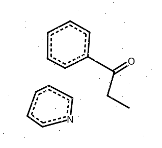 CCC(=O)c1ccccc1.c1ccncc1